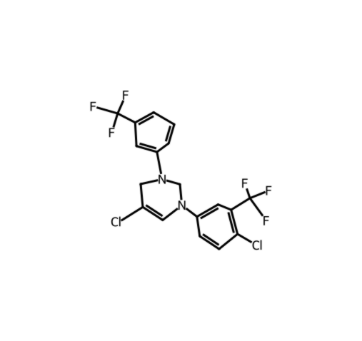 FC(F)(F)c1cccc(N2CC(Cl)=CN(c3ccc(Cl)c(C(F)(F)F)c3)C2)c1